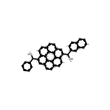 OC(c1ccccc1)c1cc2ccc3ccc4c(C(O)c5ccc6ccccc6c5)cc5ccc6ccc1c1c6c5c4c3c21